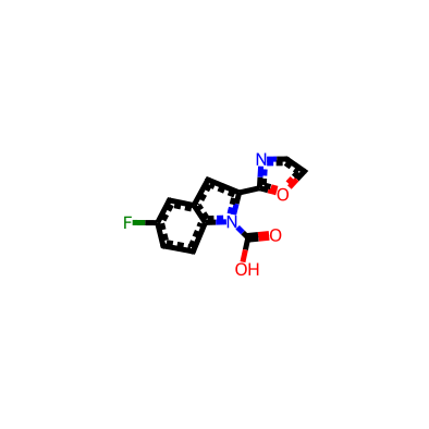 O=C(O)n1c(-c2ncco2)cc2cc(F)ccc21